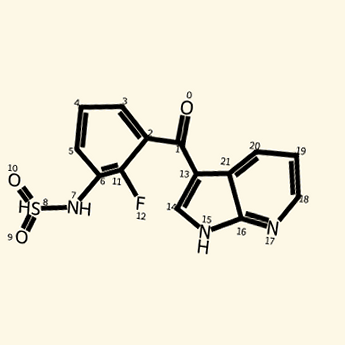 O=C(c1cccc(N[SH](=O)=O)c1F)c1c[nH]c2ncccc12